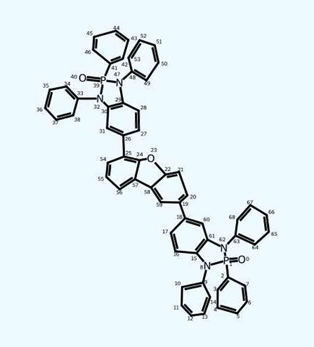 O=P1(c2ccccc2)N(c2ccccc2)c2ccc(-c3ccc4oc5c(-c6ccc7c(c6)N(c6ccccc6)P(=O)(c6ccccc6)N7c6ccccc6)cccc5c4c3)cc2N1c1ccccc1